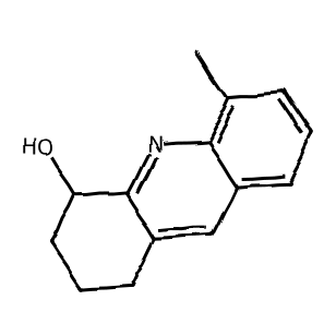 Cc1cccc2cc3c(nc12)C(O)CCC3